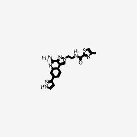 Cc1csc(C(=O)NCCn2cc3c(n2)c(N)nc2cc(-c4cc[nH]n4)ccc23)n1